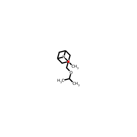 CC(C)OCCN1C2CC1CN(C)C2